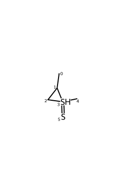 CC1C[SH]1(C)=S